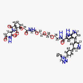 CC(C)n1cnnc1-c1ccc(-c2cncc(-c3ccnc4[nH]c(C(=O)NCCOCCOCCOCCNC(=O)COc5cccc6c5C(=O)N(C5CCC(=O)NC5=O)C6=O)cc34)c2)cc1